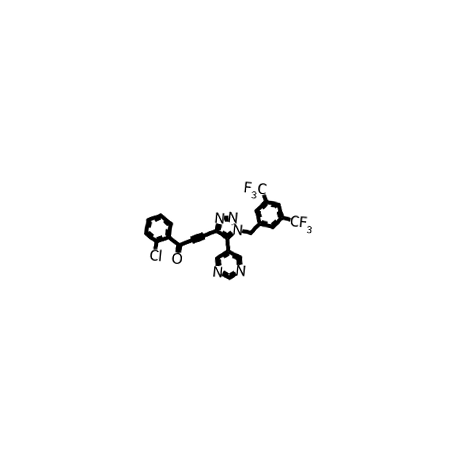 O=C(C#Cc1nnn(Cc2cc(C(F)(F)F)cc(C(F)(F)F)c2)c1-c1cncnc1)c1ccccc1Cl